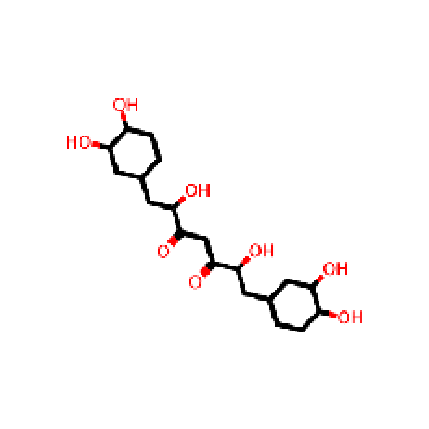 O=C(CC(=O)C(O)CC1CCC(O)C(O)C1)C(O)CC1CCC(O)C(O)C1